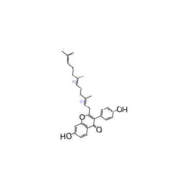 CC(C)=CCC/C(C)=C/CC/C(C)=C/Cc1oc2cc(O)ccc2c(=O)c1-c1ccc(O)cc1